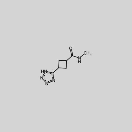 CNC(=O)C1CC(c2nnn[nH]2)C1